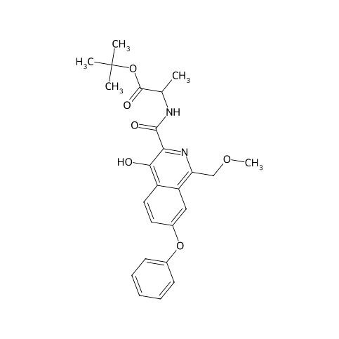 COCc1nc(C(=O)NC(C)C(=O)OC(C)(C)C)c(O)c2ccc(Oc3ccccc3)cc12